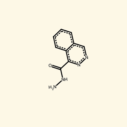 NNC(=O)c1nncc2ccccc12